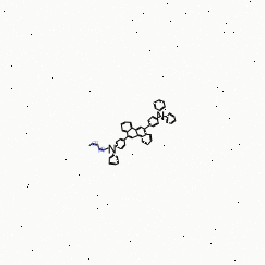 C/C=C\C=C/CN(c1ccccc1)c1ccc(-c2cc3c4ccccc4c(-c4ccc(N(c5ccccc5)c5ccccc5)cc4)cc3c3ccccc23)cc1